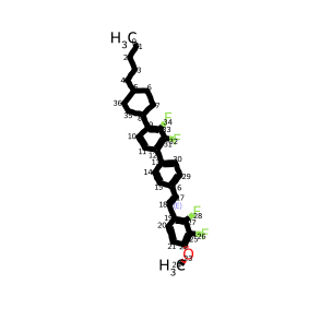 CCCCCC1CCC(c2ccc(-c3ccc(/C=C/c4ccc(OC)c(F)c4F)cc3)c(F)c2F)CC1